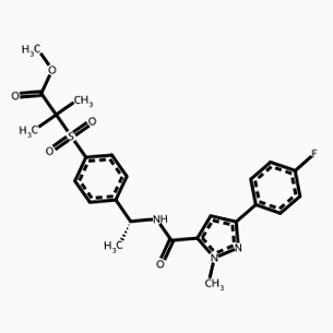 COC(=O)C(C)(C)S(=O)(=O)c1ccc([C@@H](C)NC(=O)c2cc(-c3ccc(F)cc3)nn2C)cc1